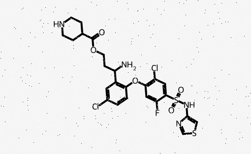 NC(CCOC(=O)C1CCNCC1)c1cc(Cl)ccc1Oc1cc(F)c(S(=O)(=O)Nc2cscn2)cc1Cl